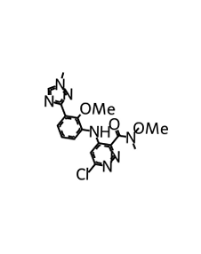 COc1c(Nc2cc(Cl)nnc2C(=O)N(C)OC)cccc1-c1ncn(C)n1